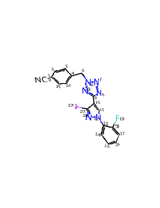 N#Cc1ccc(Cn2nnc(-c3cn(-c4ccccc4F)nc3I)n2)cc1